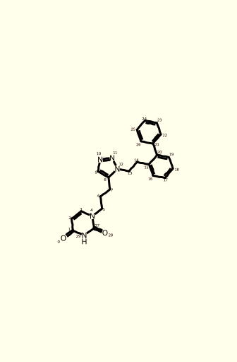 O=c1ccn(CCCc2cnnn2CCc2ccccc2-c2ccccc2)c(=O)[nH]1